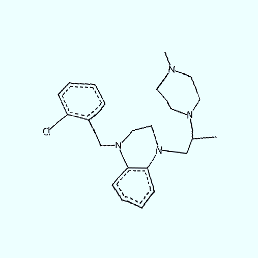 CC(CN1CCN(Cc2ccccc2Cl)c2ccccc21)N1CCN(C)CC1